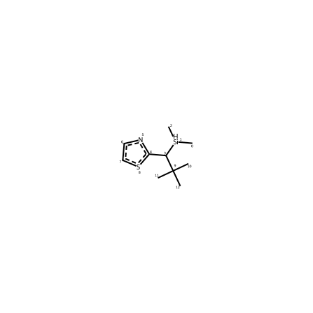 C[SiH](C)C(c1n[c]cs1)C(C)(C)C